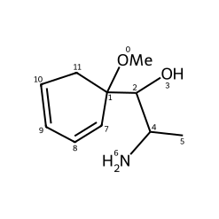 COC1(C(O)C(C)N)C=CC=CC1